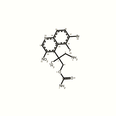 CC(CN)(COC(N)=O)c1c([N+](=O)[O-])cnc2ccc(Br)c(F)c12